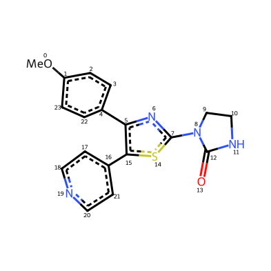 COc1ccc(-c2nc(N3CCNC3=O)sc2-c2ccncc2)cc1